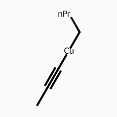 CC#[C][Cu][CH2]CCC